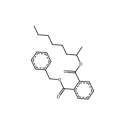 CCCCCCC(C)OC(=O)c1ccccc1C(=O)OCc1ccccc1